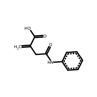 C=C(CC(=O)Nc1ccccc1)C(=O)O